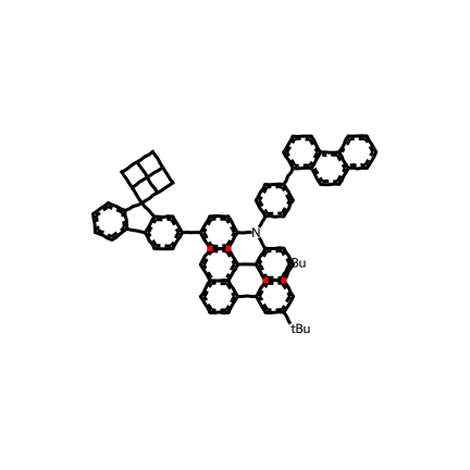 CC(C)(C)c1cc(-c2cccc3cccc(-c4ccccc4N(c4ccc(-c5ccc6c(c5)C5(c7ccccc7-6)C6CC7CC8CC5C786)cc4)c4ccc(-c5cccc6c5ccc5ccccc56)cc4)c23)cc(C(C)(C)C)c1